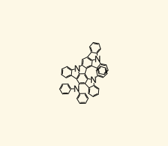 c1ccc(N(c2ccccc2)c2c3c4ccccc4n(-c4ccccc4)c3c3c4c5c6ccccc6n6c7ccccc7c(cc4n4c7ccccc7c2c34)c56)cc1